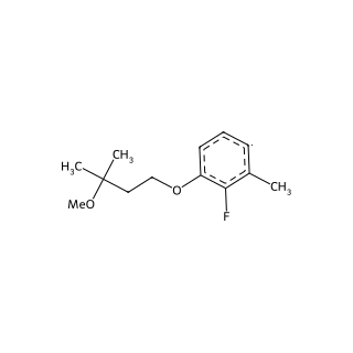 COC(C)(C)CCOc1cc[c]c(C)c1F